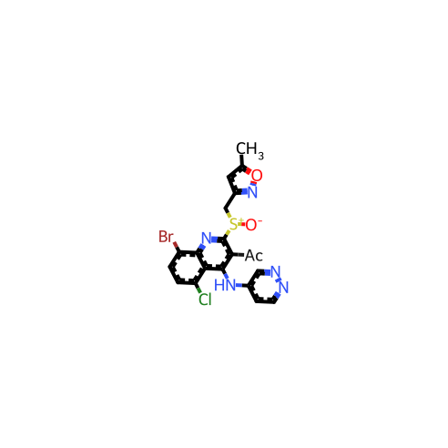 CC(=O)c1c([S+]([O-])Cc2cc(C)on2)nc2c(Br)ccc(Cl)c2c1Nc1ccnnc1